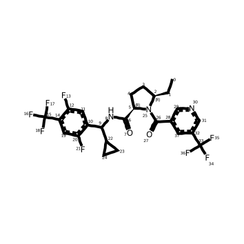 CC[C@@H]1CC[C@H](C(=O)NC(c2cc(F)c(C(F)(F)F)cc2F)C2CC2)N1C(=O)c1cncc(C(F)(F)F)c1